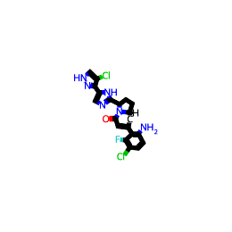 Nc1ccc(Cl)c(F)c1C1=CC(=O)N2C(c3ncc(-c4n[nH]cc4Cl)[nH]3)CC[C@@H]2C1